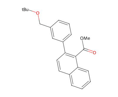 COC(=O)c1c(-c2cccc(COC(C)(C)C)c2)ccc2ccccc12